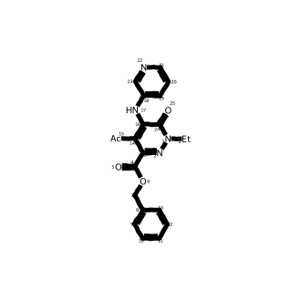 CCn1nc(C(=O)OCc2ccccc2)c(C(C)=O)c(Nc2cccnc2)c1=O